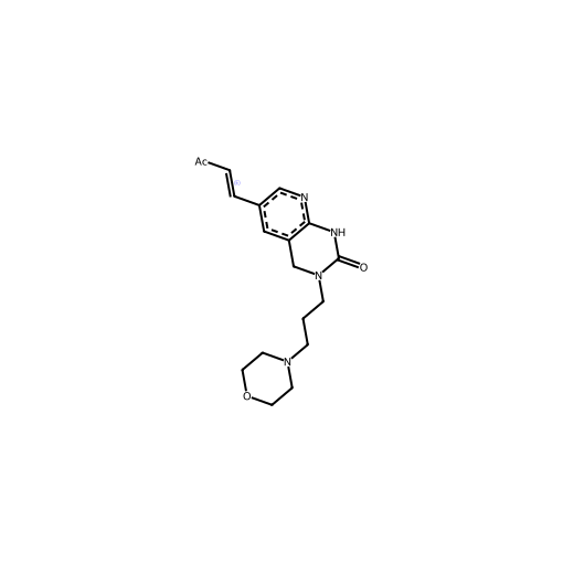 CC(=O)/C=C/c1cnc2c(c1)CN(CCCN1CCOCC1)C(=O)N2